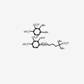 CCCCC(CCCC)(CCCC(=O)O)C(=O)O.CCCCCCCCc1ccc(C(=O)O)c(C(=O)O)c1CCCCCCCC.CCCCc1ccc(C(=O)O)c(C(=O)O)c1CCCC